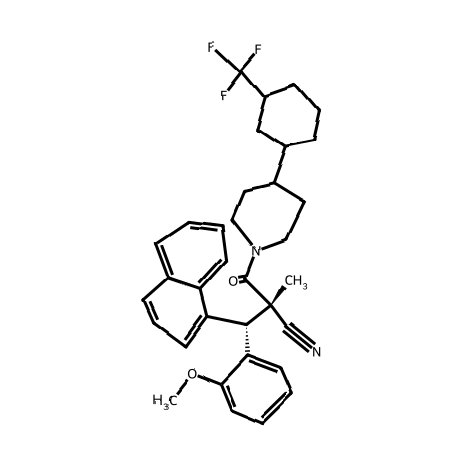 COc1ccccc1[C@H](c1cccc2ccccc12)[C@@](C)(C#N)C(=O)N1CCC(C2CCCC(C(F)(F)F)C2)CC1